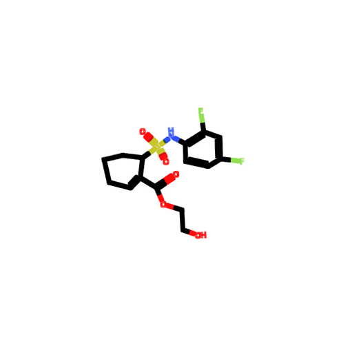 O=C(OCCO)C1=CCCCC1S(=O)(=O)Nc1ccc(F)cc1F